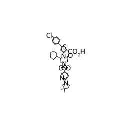 CC1(C)CCN(c2ccc(S(=O)(=O)N3CC(=O)N(c4cc(-c5ccc(Cl)cc5)sc4C(=O)O)C(C4CCCCC4)C3)cn2)C1